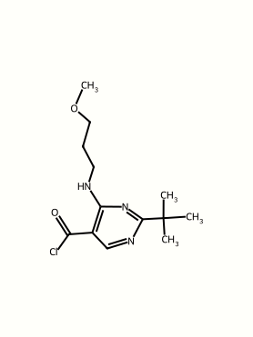 COCCCNc1nc(C(C)(C)C)ncc1C(=O)Cl